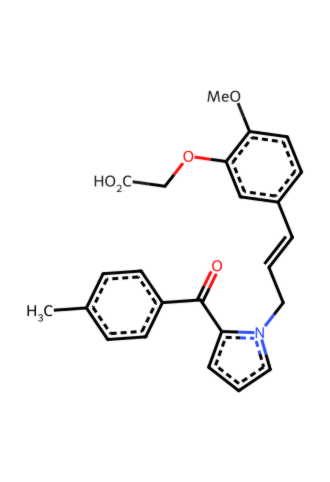 COc1ccc(/C=C/Cn2cccc2C(=O)c2ccc(C)cc2)cc1OCC(=O)O